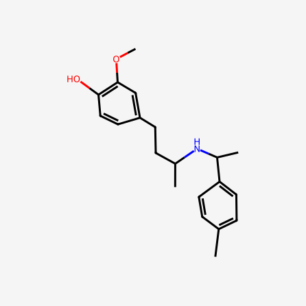 COc1cc(CCC(C)NC(C)c2ccc(C)cc2)ccc1O